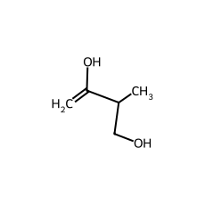 C=C(O)C(C)CO